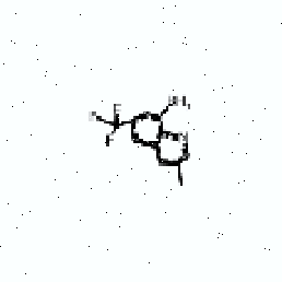 Bc1cc(C(F)(F)F)cc2cc(C)cnc12